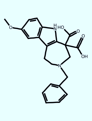 COc1ccc2[nH]c3c(c2c1)CCN(Cc1ccccc1)CC3(C(=O)O)C(=O)O